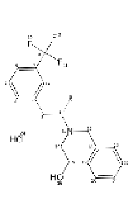 C[C@@H](Cc1cccc(C(F)(F)F)c1)N(CCO)Cc1ccccc1.Cl